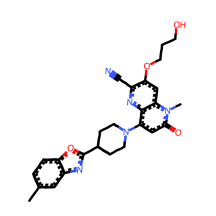 Cc1ccc2oc(C3CCN(c4cc(=O)n(C)c5cc(OCCCO)c(C#N)nc45)CC3)nc2c1